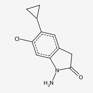 NN1C(=O)Cc2cc(C3CC3)c(Cl)cc21